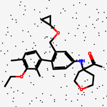 CCOc1c(C)ccc(-c2ccc(NC3(C(C)=O)CCOCC3)cc2COC2CC2)c1C